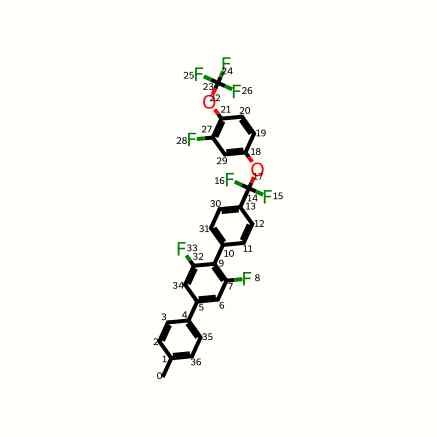 Cc1ccc(-c2cc(F)c(-c3ccc(C(F)(F)Oc4ccc(OC(F)(F)F)c(F)c4)cc3)c(F)c2)cc1